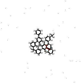 CC(C)(C)c1ccc(N2c3cc4c(cc3B3c5c(cc(-c6ccccc6)cc52)-c2cccc5c2N3c2ccccc2C5(C)C)sc2ccccc24)c(-c2ccccc2)c1